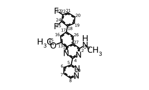 CNc1nc(-c2cccnn2)nc2c(OC)cc(-c3cccc(F)c3F)cc12